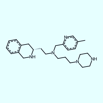 Cc1ccc(CN(CCCN2CCNCC2)CC[C@H]2Cc3ccccc3CN2)nc1